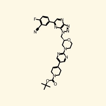 CC(C)(C)OC(=O)N1CC=C(c2cnc(N3CCO[C@H](Cn4nnc5ncc(-c6ccc(F)c(C#N)c6)nc54)C3)nc2)CC1